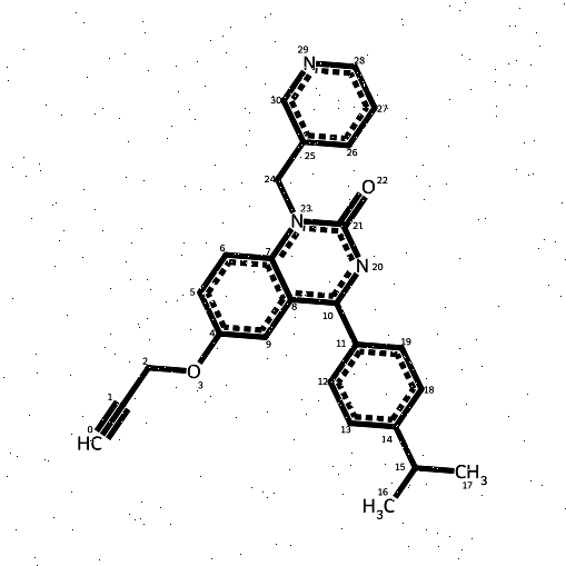 C#CCOc1ccc2c(c1)c(-c1ccc(C(C)C)cc1)nc(=O)n2Cc1cccnc1